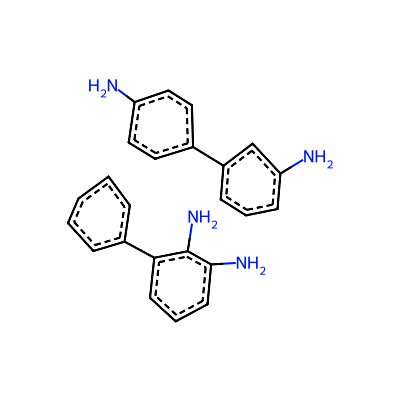 Nc1ccc(-c2cccc(N)c2)cc1.Nc1cccc(-c2ccccc2)c1N